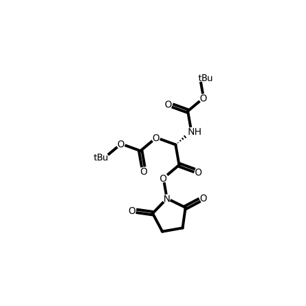 CC(C)(C)OC(=O)N[C@@H](OC(=O)OC(C)(C)C)C(=O)ON1C(=O)CCC1=O